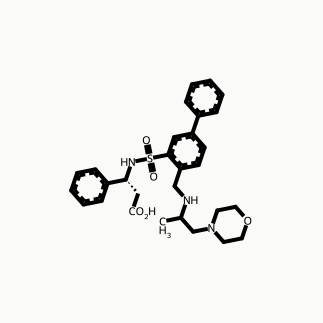 CC(CN1CCOCC1)NCc1ccc(-c2ccccc2)cc1S(=O)(=O)N[C@H](CC(=O)O)c1ccccc1